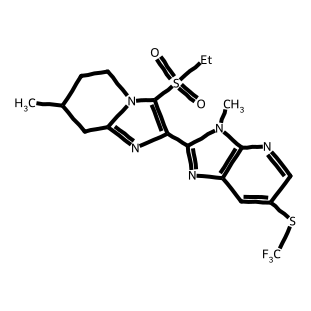 CCS(=O)(=O)c1c(-c2nc3cc(SC(F)(F)F)cnc3n2C)nc2n1CCC(C)C2